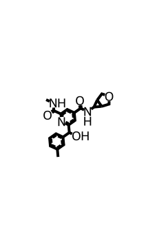 CNC(=O)c1cc(C(=O)NC2C3COCC32)cc(C(O)c2cccc(C)c2)n1